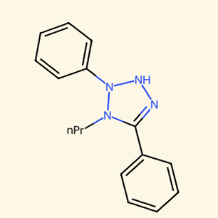 CCCN1C(c2ccccc2)=NNN1c1ccccc1